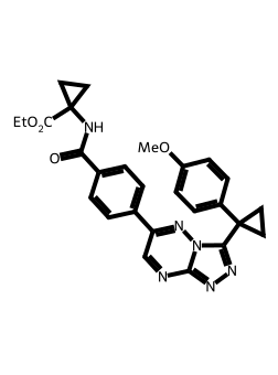 CCOC(=O)C1(NC(=O)c2ccc(-c3cnc4nnc(C5(c6ccc(OC)cc6)CC5)n4n3)cc2)CC1